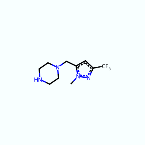 Cn1nc(C(F)(F)F)cc1CN1CCNCC1